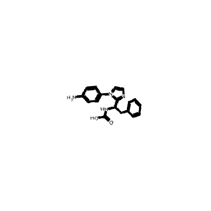 Nc1ccc(-n2ccnc2C(Cc2ccccc2)NC(=O)O)cc1